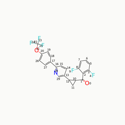 O=C(c1c(F)cccc1F)C1CC1c1ccc(-c2ccc(OC(F)(F)F)cc2)nc1